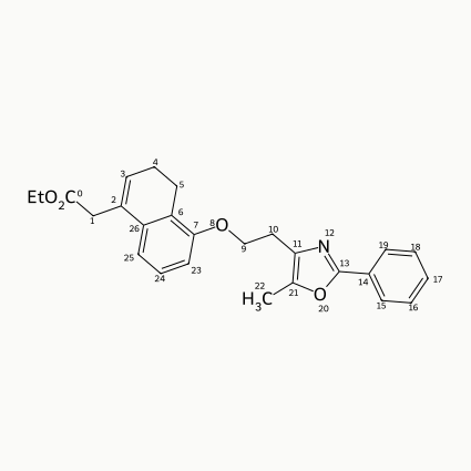 CCOC(=O)CC1=CCCc2c(OCCc3nc(-c4ccccc4)oc3C)cccc21